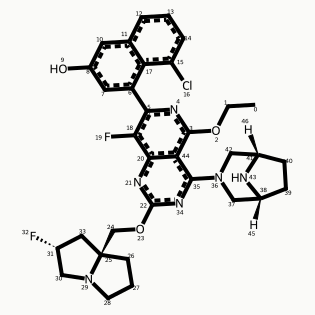 CCOc1nc(-c2cc(O)cc3cccc(Cl)c23)c(F)c2nc(OC[C@@]34CCCN3C[C@H](F)C4)nc(N3C[C@H]4CC[C@@H](C3)N4)c12